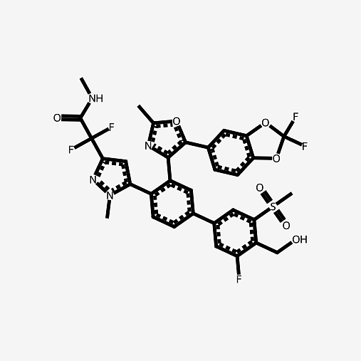 CNC(=O)C(F)(F)c1cc(-c2ccc(-c3cc(F)c(CO)c(S(C)(=O)=O)c3)cc2-c2nc(C)oc2-c2ccc3c(c2)OC(F)(F)O3)n(C)n1